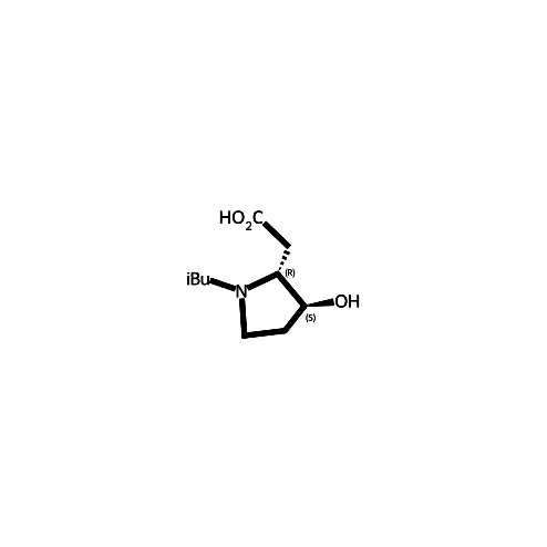 CCC(C)N1CC[C@H](O)[C@H]1CC(=O)O